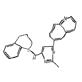 Cc1nc(N[C@@H]2CCCc3ccccc32)cc(-c2ccc3ncccc3c2)n1